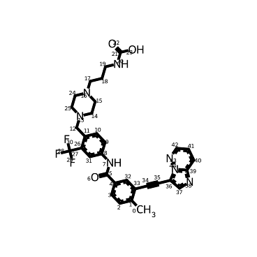 Cc1ccc(C(=O)Nc2ccc(CN3CCN(CCCNC(=O)O)CC3)c(C(F)(F)F)c2)cc1C#Cc1cnc2cccnn12